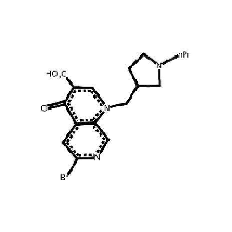 CCCN1CCC(Cn2cc(C(=O)O)c(=O)c3cc(Br)ncc32)C1